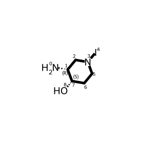 N[C@@H]1CN(I)CC[C@@H]1O